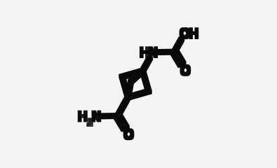 NC(=O)C12CC(NC(=O)O)(C1)C2